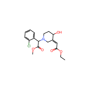 CCOC(=O)C=C1CN(C(C(=O)OC)c2ccccc2Cl)CCC1O